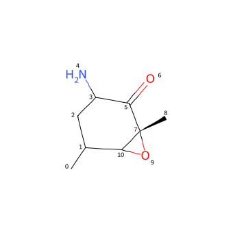 CC1CC(N)C(=O)[C@]2(C)OC12